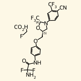 N#Cc1ccc(N2C[C@@H](COc3ccc(NC(=O)C(N)(F)F)cc3)O[C@@H]2C(F)(F)F)cc1C(F)(F)F.O=C(O)CF